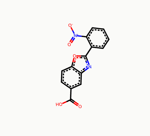 O=C(O)c1ccc2oc(-c3ccccc3[N+](=O)[O-])nc2c1